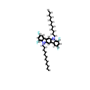 CCCCCCCCCCCCn1c2cc3c4cc(F)cc(F)c4n(CCCCCCCCCCCC)c3cc2c2cc(F)cc(F)c21